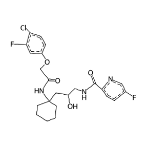 O=C(COc1ccc(Cl)c(F)c1)NC1(CC(O)CNC(=O)c2ccc(F)cn2)CCCCC1